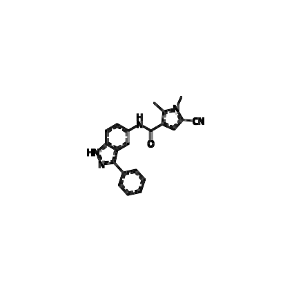 Cc1c(C(=O)Nc2ccc3[nH]nc(-c4ccccc4)c3c2)cc(C#N)n1C